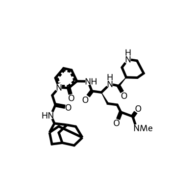 CNC(=O)C(=O)CC[C@H](NC(=O)[C@@H]1CCCNC1)C(=O)Nc1cccn(CC(=O)NC2C3CC4CC(C3)CC2C4)c1=O